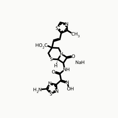 Cc1ncsc1C=CC1(C(=O)O)CS[C@@H]2C(NC(=O)C(=NO)c3nsc(N)n3)C(=O)N2C1.[NaH]